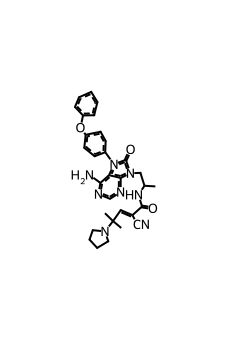 CC(Cn1c(=O)n(-c2ccc(Oc3ccccc3)cc2)c2c(N)ncnc21)NC(=O)C(C#N)=CC(C)(C)N1CCCC1